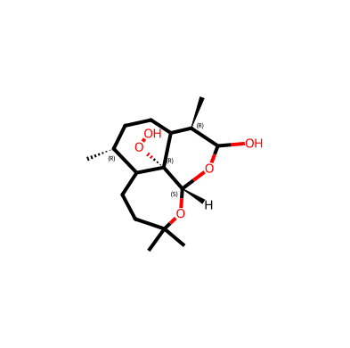 C[C@H]1C(O)O[C@@H]2OC(C)(C)CCC3[C@H](C)CCC1[C@]32OO